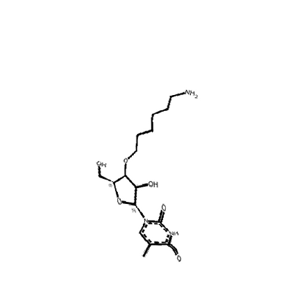 Cc1cn([C@H]2O[C@@H](CO)C(OCCCCCCN)C2O)c(=O)[nH]c1=O